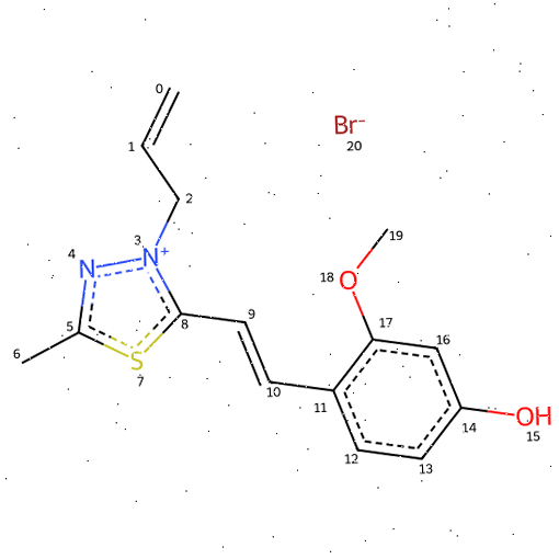 C=CC[n+]1nc(C)sc1/C=C/c1ccc(O)cc1OC.[Br-]